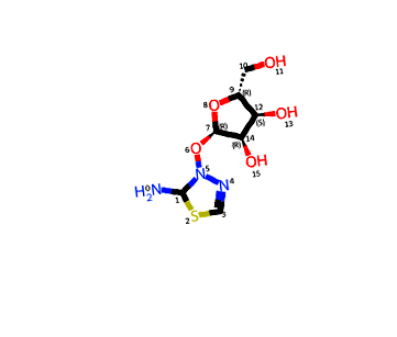 NC1SC=NN1O[C@H]1O[C@H](CO)[C@@H](O)[C@H]1O